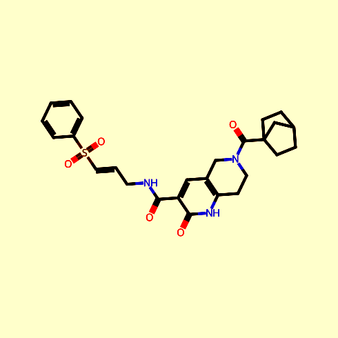 O=C(NC/C=C/S(=O)(=O)c1ccccc1)c1cc2c([nH]c1=O)CCN(C(=O)C13CCC(CC1)C3)C2